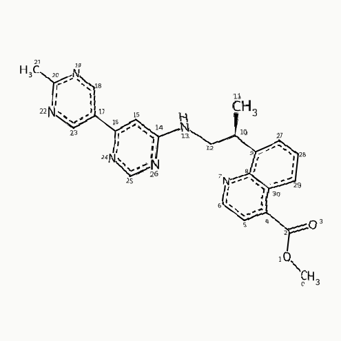 COC(=O)c1ccnc2c([C@H](C)CNc3cc(-c4cnc(C)nc4)ncn3)cccc12